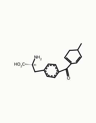 CC1C=CC(C(=O)c2ccc(C[C@@H](N)C(=O)O)cc2)=CC1